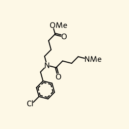 CNCCCC(=O)N(CCCC(=O)OC)Cc1cccc(Cl)c1